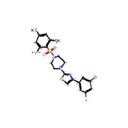 Cc1cc(C)c(S(=O)(=O)N2CCN(c3nc(-c4cc(F)cc(Cl)c4)cs3)CC2)c(C)c1